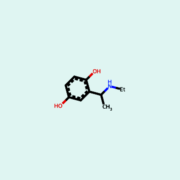 CCNC(C)c1cc(O)ccc1O